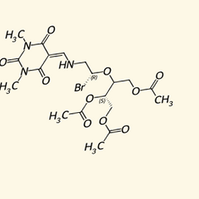 CC(=O)OCC(O[C@H](Br)CNC=C1C(=O)N(C)C(=O)N(C)C1=O)[C@H](COC(C)=O)OC(C)=O